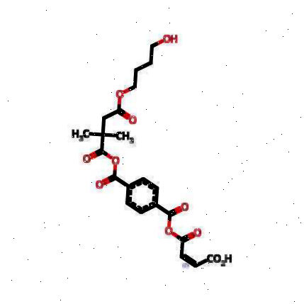 CC(C)(CC(=O)OCCCCO)C(=O)OC(=O)c1ccc(C(=O)OC(=O)/C=C\C(=O)O)cc1